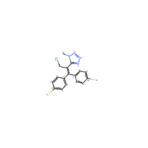 Cn1nnnc1C(CCl)=C(c1ccc(F)cc1)c1ccc(F)cc1